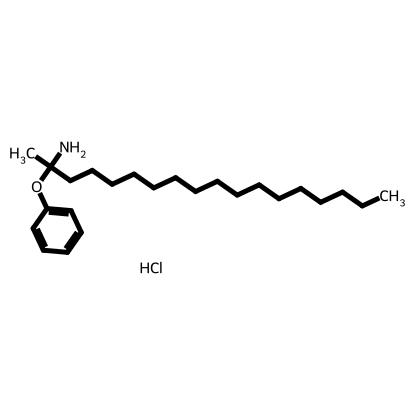 CCCCCCCCCCCCCCCCC(C)(N)Oc1ccccc1.Cl